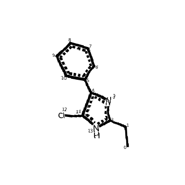 CCc1nc(-c2ccccc2)c(Cl)[nH]1